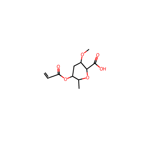 C=CC(=O)OC1CC(OC)C(C(=O)O)OC1C